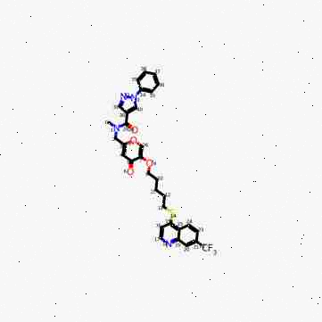 CN(Cc1cc(=O)c(OCCCCCSc2ccnc3cc(C(F)(F)F)ccc23)co1)C(=O)c1cnn(-c2ccccc2)c1